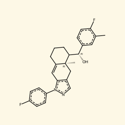 Cc1cc([C@H](O)C2CCCC3=Cc4c(cnn4-c4ccc(F)cc4)C[C@@]32C)ccc1F